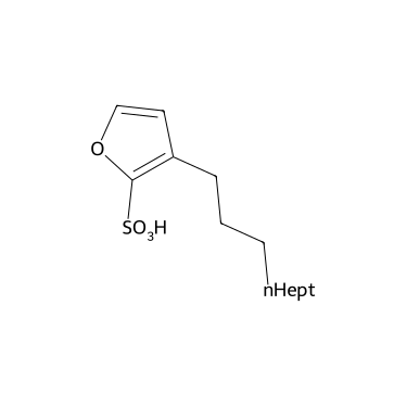 CCCCCCCCCCc1ccoc1S(=O)(=O)O